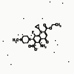 CCOC(=O)c1cc(=O)c2c(N)c([N+](=O)[O-])c(N3CCN(C)CC3)c(F)c2n1C1CC1